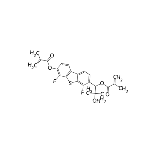 C=C(C)C(=O)Oc1ccc2c(sc3c(F)c(C(OC(=O)C(=C)C)C(C)(C)O)ccc32)c1F